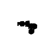 Fc1ccc(-c2csc(NN=C(c3ccccn3)c3ccccn3)n2)cc1